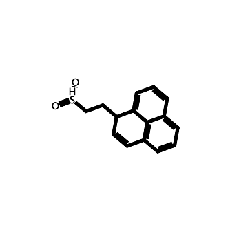 O=[SH](=O)CCC1C=Cc2cccc3cccc1c23